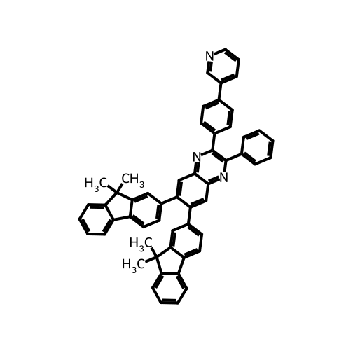 CC1(C)c2ccccc2-c2ccc(-c3cc4nc(-c5ccccc5)c(-c5ccc(-c6cccnc6)cc5)nc4cc3-c3ccc4c(c3)C(C)(C)c3ccccc3-4)cc21